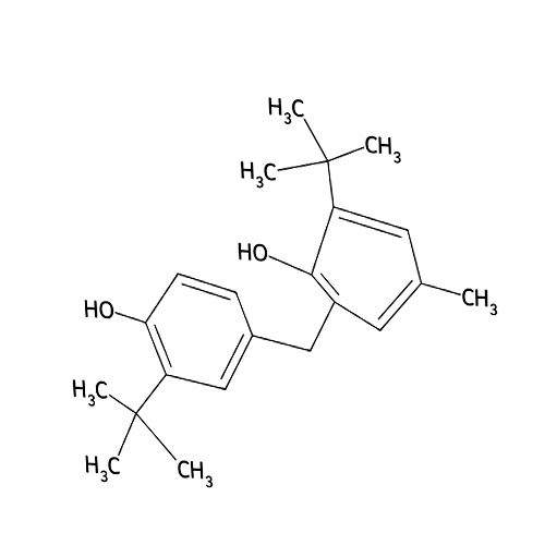 Cc1cc(Cc2ccc(O)c(C(C)(C)C)c2)c(O)c(C(C)(C)C)c1